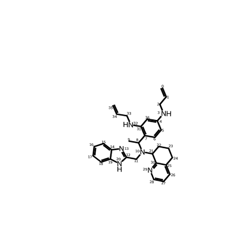 C=CCNc1ccc(C(C)N(Cc2nc3ccccc3[nH]2)C2CCCc3cccnc32)c(NCC=C)c1